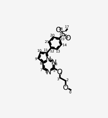 COCCOc1ncc2ccc(-c3ccc(S(C)(=O)=O)cc3)n2n1